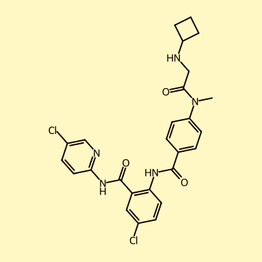 CN(C(=O)CNC1CCC1)c1ccc(C(=O)Nc2ccc(Cl)cc2C(=O)Nc2ccc(Cl)cn2)cc1